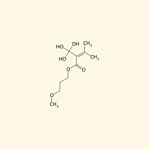 COCCCOC(=O)C(=C(C)C)C(O)(O)O